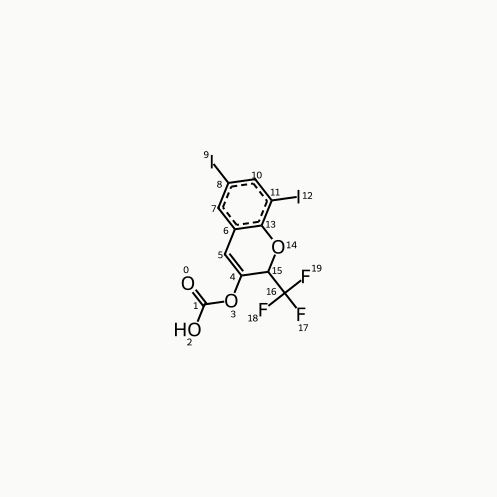 O=C(O)OC1=Cc2cc(I)cc(I)c2OC1C(F)(F)F